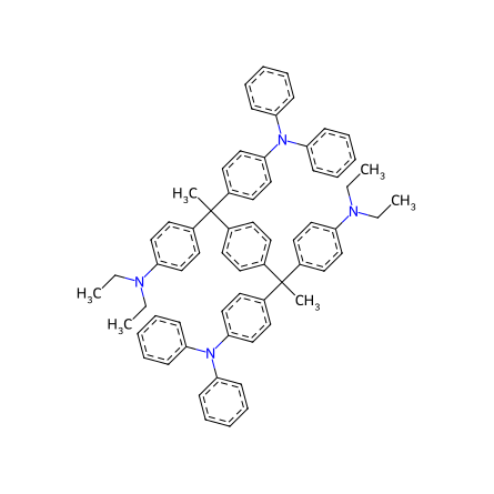 CCN(CC)c1ccc(C(C)(c2ccc(N(c3ccccc3)c3ccccc3)cc2)c2ccc(C(C)(c3ccc(N(CC)CC)cc3)c3ccc(N(c4ccccc4)c4ccccc4)cc3)cc2)cc1